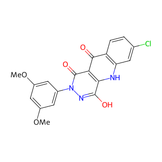 COc1cc(OC)cc(-n2nc(O)c3[nH]c4cc(Cl)ccc4c(=O)c3c2=O)c1